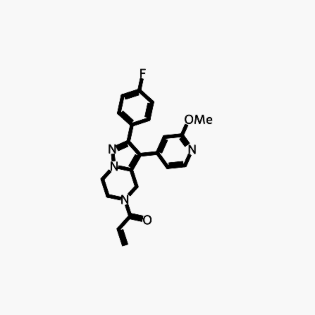 C=CC(=O)N1CCn2nc(-c3ccc(F)cc3)c(-c3ccnc(OC)c3)c2C1